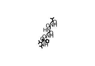 CC(C)NC(C(=O)N1CCC[C@H]1C(=O)NCC(=O)NCC(=O)NCC(=O)C(C)C)C(C)C